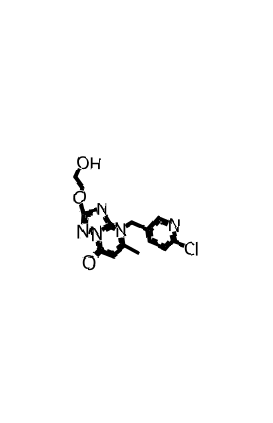 Cc1cc(=O)n2nc(OCCO)nc2n1Cc1ccc(Cl)nc1